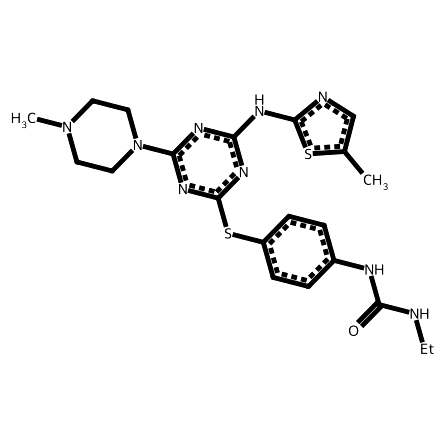 CCNC(=O)Nc1ccc(Sc2nc(Nc3ncc(C)s3)nc(N3CCN(C)CC3)n2)cc1